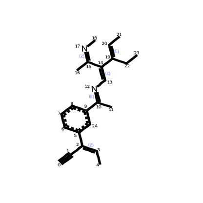 C#C/C(=C\C)c1cccc(/C(C)=N/C=C(C(\C)=N/C)/C(=C/C)CC)c1